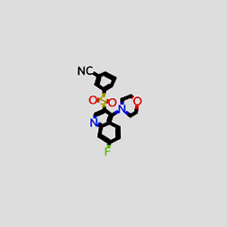 N#Cc1cccc(S(=O)(=O)c2cnc3cc(F)ccc3c2N2CCOCC2)c1